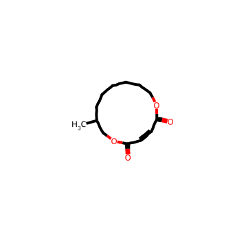 CC1CCCCCCOC(=O)C=CC(=O)OC1